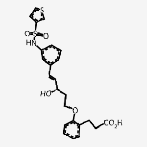 O=C(O)CCc1ccccc1OCC[C@@H](O)/C=C/c1cccc(NS(=O)(=O)c2ccsc2)c1